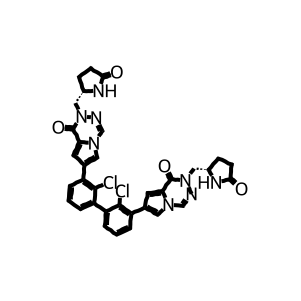 O=C1CC[C@@H](Cn2ncn3cc(-c4cccc(-c5cccc(-c6cc7c(=O)n(C[C@@H]8CCC(=O)N8)ncn7c6)c5Cl)c4Cl)cc3c2=O)N1